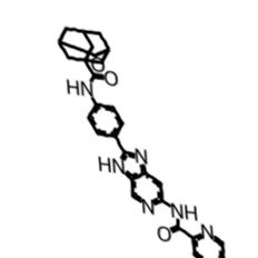 O=C(Nc1cc2nc(-c3ccc(NC(=O)C45CC6CC(C4)C(=O)C(C6)C5)cc3)[nH]c2cn1)c1ccccn1